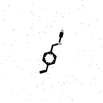 C=Cc1ccc(C[Se]C#N)cc1